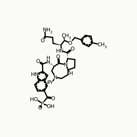 Cc1ccc(CO[C@H](C)[C@H](CCC(N)=O)NC(=O)[C@@H]2CC[C@@H]3CCN(C(C)C)C[C@H](NC(=O)c4cc5cc(C(=O)P(=O)(O)O)ccc5[nH]4)C(=O)N32)cc1